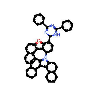 c1ccc(C2=NC(c3ccc(-n4c5ccc6ccccc6c5c5c6ccccc6ccc54)c4c3oc3ccc5ccccc5c34)NC(c3ccccc3)=N2)cc1